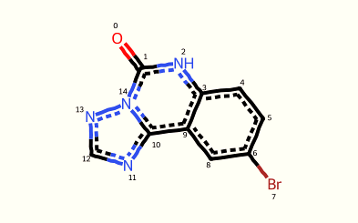 O=c1[nH]c2ccc(Br)cc2c2ncnn12